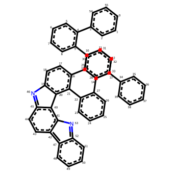 c1ccc(-c2ccccc2-c2ccccc2-c2ccc3c(c2-c2ccccc2-c2ccccc2-c2ccccc2)-c2c4c(ccc2=N3)=c2ccccc2=N4)cc1